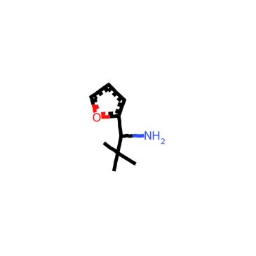 CC(C)(C)C(N)c1ccco1